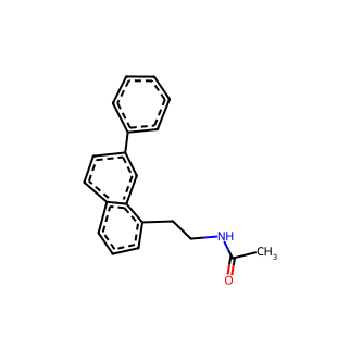 CC(=O)NCCc1cccc2ccc(-c3ccccc3)cc12